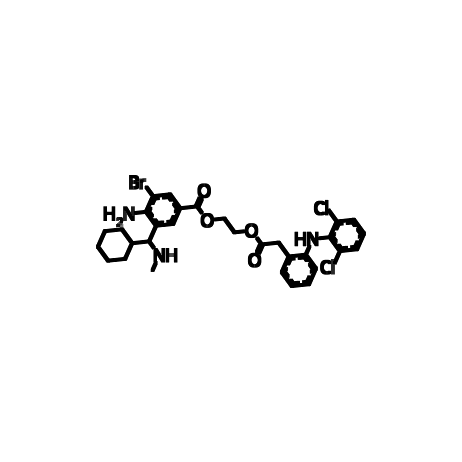 CNC(c1cc(C(=O)OCCOC(=O)Cc2ccccc2Nc2c(Cl)cccc2Cl)cc(Br)c1N)C1CCCCC1